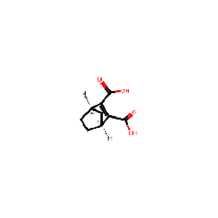 O=C(O)C1=C(C(=O)O)[C@H]2CC[C@@H]1C2